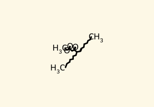 CCCCCCC=CC(CCCCCCCC)C(=O)CC(=O)OC